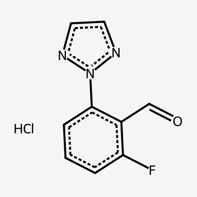 Cl.O=Cc1c(F)cccc1-n1nccn1